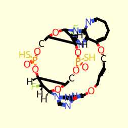 O=[P@@]1(S)OCC2OC3[C@H](F)[C@@H]2O[P@](=O)(S)OCC2O[C@H]([C@H](F)[C@@H]2O1)n1cnc2c(ncnc21)OC/C=C/CO/C1=C/CC/C=N\c2c1ncn23